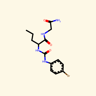 CCCC(NC(=O)Nc1ccc(Br)cc1)C(=O)NCC(N)=O